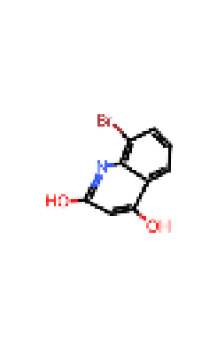 Oc1cc(O)c2cccc(Br)c2n1